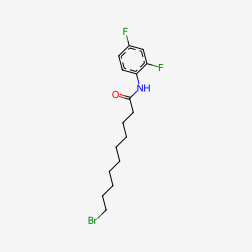 O=C(CCCCCCCCCBr)Nc1ccc(F)cc1F